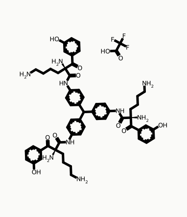 NCCCC[C@@](N)(C(=O)Nc1ccc(C(c2ccc(NC(=O)[C@](N)(CCCCN)C(=O)c3cccc(O)c3)cc2)c2ccc(NC(=O)[C@](N)(CCCCN)C(=O)c3cccc(O)c3)cc2)cc1)C(=O)c1cccc(O)c1.O=C(O)C(F)(F)F